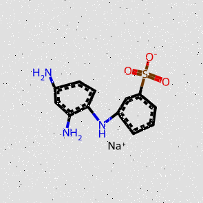 Nc1ccc(Nc2cccc(S(=O)(=O)[O-])c2)c(N)c1.[Na+]